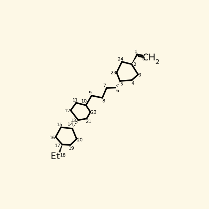 C=C[C@H]1CC[C@H](CCCCC2CCC([C@H]3CC[C@H](CC)CC3)CC2)CC1